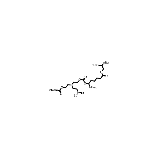 CCCCCCCCCC(=O)OCCN(CCOC(=O)OC(CCCCCC)CCCCC(=O)OCC(CCCC)CCCCCC)CCN(CC)CC